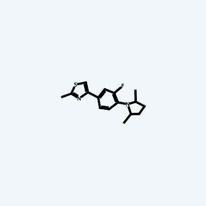 Cc1nc(-c2ccc(N3C(C)CCC3C)c(F)c2)cs1